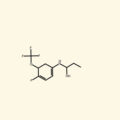 CCC(O)NC1=CC=C(F)C(OC(F)(F)F)C1